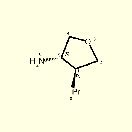 CC(C)[C@@H]1COC[C@H]1N